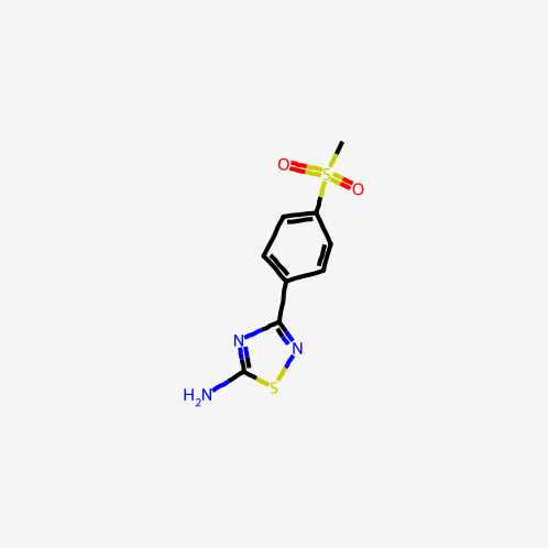 CS(=O)(=O)c1ccc(-c2nsc(N)n2)cc1